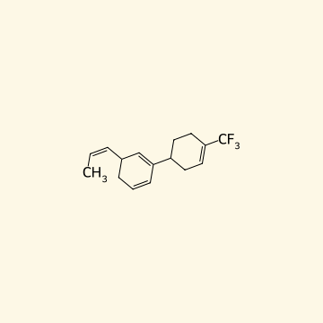 C/C=C\C1C=C(C2CC=C(C(F)(F)F)CC2)C=CC1